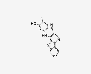 Cc1ccc(Nc2c(C#N)cnc3c2sc2ccccc23)cc1O